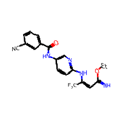 CCOC(=N)/C=C(\Nc1ccc(NC(=O)c2cccc(C#N)c2)cn1)C(F)(F)F